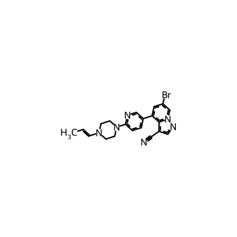 CC=CN1CCN(c2ccc(-c3cc(Br)cn4ncc(C#N)c34)cn2)CC1